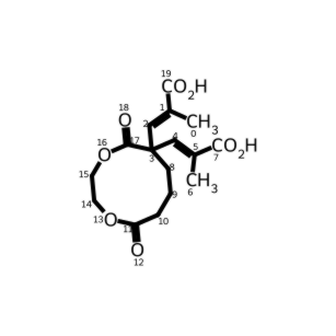 CC(=CC1(C=C(C)C(=O)O)CCCC(=O)OCCOC1=O)C(=O)O